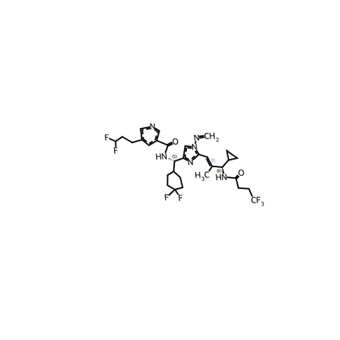 C=Nn1cc([C@@H](NC(=O)c2cncc(CCC(F)F)c2)C2CCC(F)(F)CC2)nc1/C=C(\C)[C@H](NC(=O)CCC(F)(F)F)C1CC1